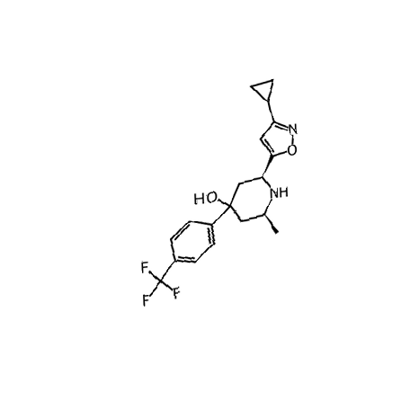 C[C@H]1CC(O)(c2ccc(C(F)(F)F)cc2)C[C@@H](c2cc(C3CC3)no2)N1